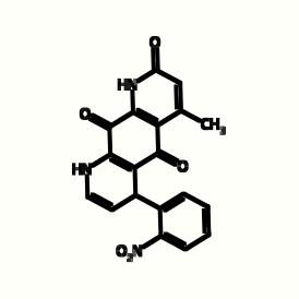 Cc1cc(=O)[nH]c2c1C(=O)C1=C(NC=CC1c1ccccc1[N+](=O)[O-])C2=O